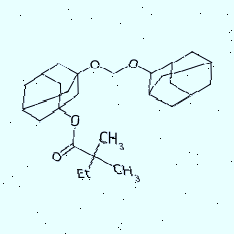 CCC(C)(C)C(=O)OC12CC3CC(CC(OCOC4C5CC6CC(C5)CC4C6)(C3)C1)C2